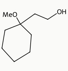 COC1(CCO)CCCCC1